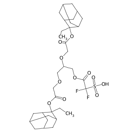 CCC1(OC(=O)COCC(COC(=O)C(F)(F)S(=O)(=O)O)OCC(=O)OC2(CC)C3CC4CC(C3)CC2C4)C2CC3CC(C2)CC1C3